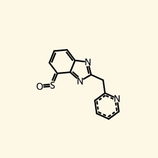 O=S=C1C=CC=C2N=C(Cc3ccccn3)N=C21